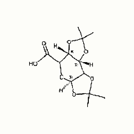 CC1(C)OC2[C@H](OC(C(=O)O)[C@@H]3OC(C)(C)O[C@H]23)O1